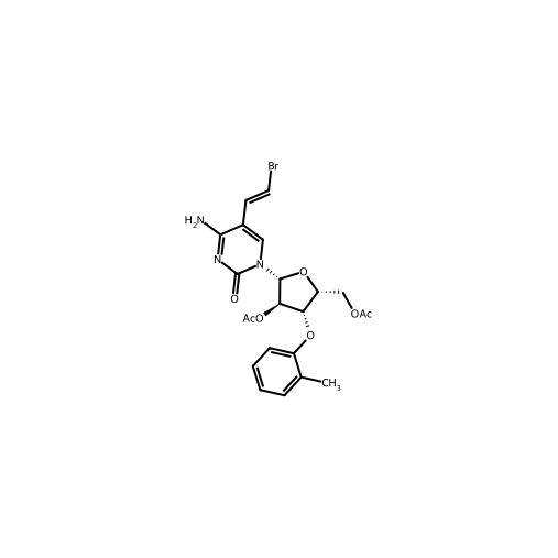 CC(=O)OC[C@H]1O[C@@H](n2cc(/C=C/Br)c(N)nc2=O)[C@H](OC(C)=O)[C@H]1Oc1ccccc1C